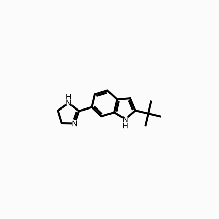 CC(C)(C)c1cc2ccc(C3=NCCN3)cc2[nH]1